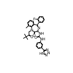 Cc1cccc2c1N(CC(=O)C(C)(C)C)C(=O)[C@H](NC(=O)Nc1cccc(-c3nnn[nH]3)c1)N=C2c1ccccc1F